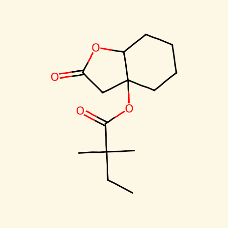 CCC(C)(C)C(=O)OC12CCCCC1OC(=O)C2